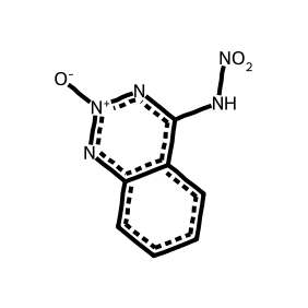 O=[N+]([O-])Nc1n[n+]([O-])nc2ccccc12